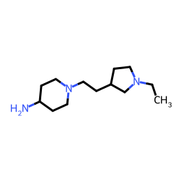 CCN1CCC(CCN2CCC(N)CC2)C1